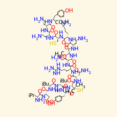 CC[C@H](C)[C@H](NC(=O)[C@@H](NC(=O)[C@@H]1C[C@@H](O)CN1C(=O)[C@@H](N)C(C)C)[C@@H](C)CC)C(=O)N[C@@H](Cc1ccc(O)cc1)C(=O)N[C@H](C(=O)N[C@@H](CC(N)=O)C(=O)N[C@@H](CCCNC(=N)N)C(=O)N[C@@H](CCN)C(=O)N[C@H](C(=O)N[C@H](CCN)C(=O)N[C@@H](CCCCN)C(=O)N[C@@H](CS)C(=O)N[C@@H](CCN)C(=O)N[C@@H](CCN)C(=O)N[C@@H](Cc1ccc(O)cc1)C(=O)O)[C@@H](C)O)C(C)(C)S